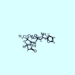 CC1(C)S[C@@H]2CC(=O)N2[C@@]1(NC(=O)CC(N)c1ccco1)C(=O)O